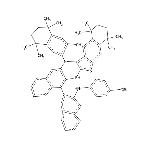 Cc1cc2c(cc1N1c3cc4ccccc4c(-c4cc5ccccc5cc4Nc4ccc(C(C)(C)C)cc4)c3Bc3sc4cc5c(cc4c31)C(C)(C)CCC5(C)C)C(C)(C)CCC2(C)C